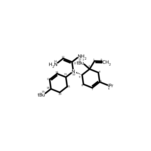 C=CC1(C(C)(C)C)CC(C(C)C)=CC[C@@H]1N(/C(N)=C\N)C1C=CC(C(C)(C)C)CC1